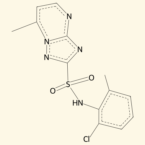 Cc1cccc(Cl)c1NS(=O)(=O)c1nc2nccc(C)n2n1